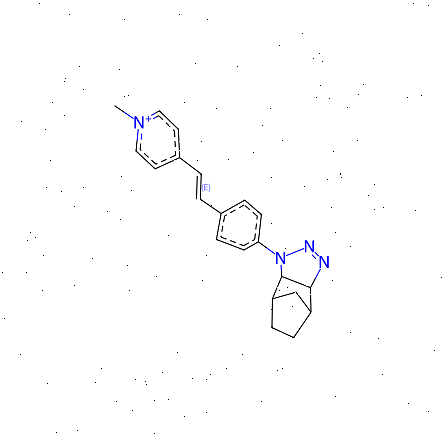 C[n+]1ccc(/C=C/c2ccc(N3N=NC4C5CCC(C5)C43)cc2)cc1